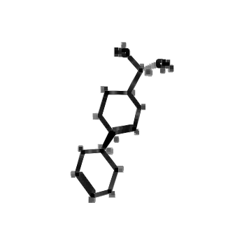 C[C@@H](O)C1CC=C([C@@H]2CC=CCC2)CC1